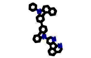 c1ccc(-n2c3ccc(-c4ccc5c(c4)c4ccccc4n5-c4cnc5c(c4)-c4cccc6ccnc-5c46)cc3c3c4ccccc4ccc32)cc1